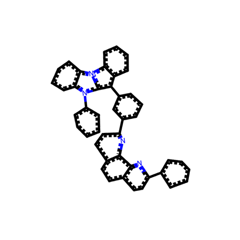 c1ccc(-c2ccc3ccc4ccc(-c5cccc(-c6c7ccccc7n7c8ccccc8n(-c8ccccc8)c67)c5)nc4c3n2)cc1